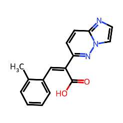 Cc1ccccc1C=C(C(=O)O)c1ccc2nccn2n1